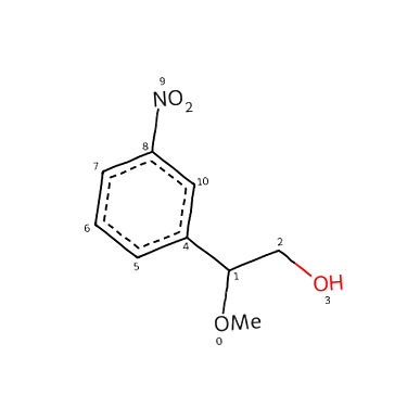 COC(CO)c1cccc([N+](=O)[O-])c1